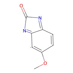 COc1[c]c2c(cc1)=NC(=O)N=2